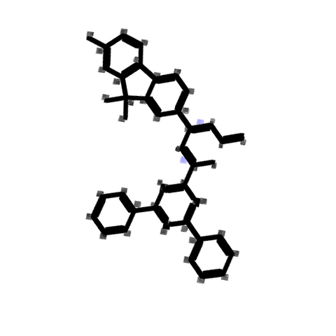 C=C/C=C(\C=C(/C)c1nc(-c2ccccc2)nc(-c2ccccc2)n1)c1ccc2c(c1)C(C)(C)c1cc(C)ccc1-2